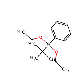 CCO[Si](OCC)(c1ccccc1)C(C)(C)C